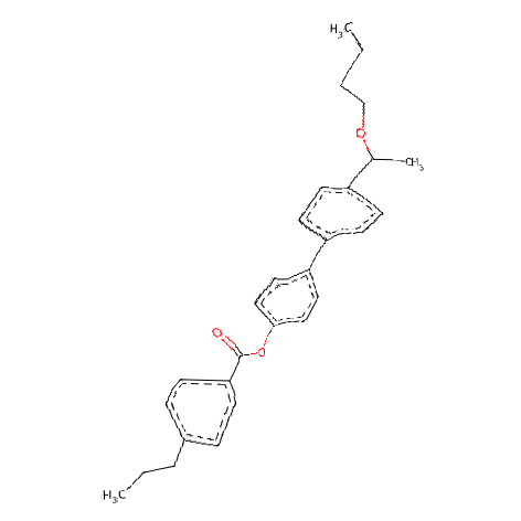 CCCCOC(C)c1ccc(-c2ccc(OC(=O)c3ccc(CCC)cc3)cc2)cc1